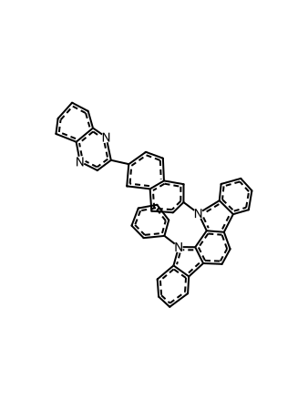 c1ccc(-n2c3ccccc3c3ccc4c5ccccc5n(-c5ccc6cc(-c7cnc8ccccc8n7)ccc6c5)c4c32)cc1